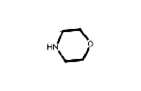 [CH]1COCCN1